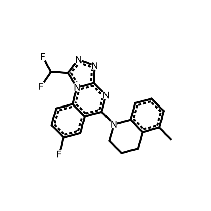 Cc1cccc2c1CCCN2c1nc2nnc(C(F)F)n2c2ccc(F)cc12